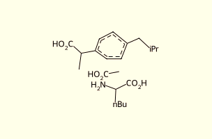 CC(=O)O.CC(C)Cc1ccc(C(C)C(=O)O)cc1.CCCCC(N)C(=O)O